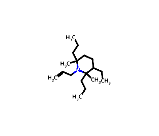 C=CCN1C(C)(CCC)CCC(CC)C1(C)CCC